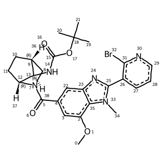 COc1cc(C(=O)N2C[C@H]3CC[C@@H]2[C@@H]3NC(=O)OC(C)(C)C)cc2nc(-c3cccnc3Br)n(C)c12